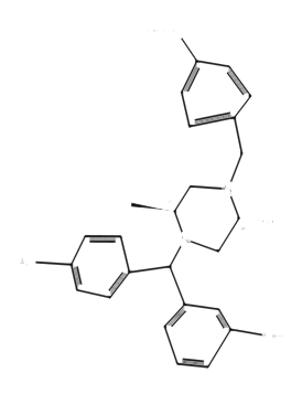 CC(=O)c1ccc(C(c2cccc(O)c2)N2C[C@@H](C)N(Cc3ccc(C(=O)O)cc3)C[C@@H]2C)cc1